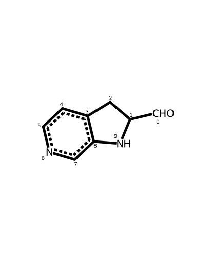 O=CC1Cc2ccncc2N1